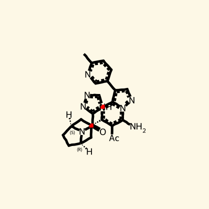 CC(=O)c1c([C@@H]2C[C@H]3CC[C@@H](C2)N3C(=O)c2nnc[nH]2)nc2c(-c3ccc(C)nc3)cnn2c1N